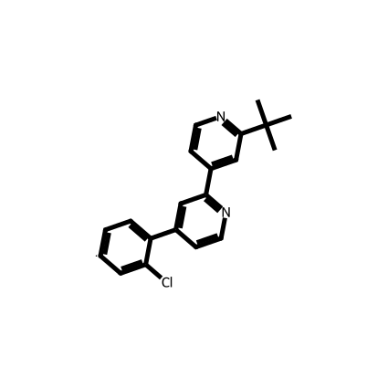 CC(C)(C)c1cc(-c2cc(-c3cc[c]cc3Cl)ccn2)ccn1